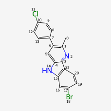 Cc1nc2c(cc1-c1ccc(Cl)cc1)[nH]c1cc(Br)ccc12